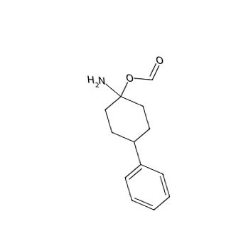 NC1(OC=O)CCC(c2ccccc2)CC1